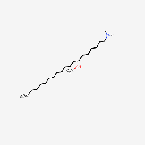 CCCCCCCCCCCCCCCCCCCCCCCCCCCCN(C)C.O=[N+]([O-])O